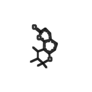 CC1c2c(ccc3ccc(=O)oc23)OC(C)(C)C1C